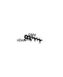 CCCCCCCCCCOc1cccc2c(OC)c(OC/C=C(\C)CCC=C(C)C)c(=O)oc12